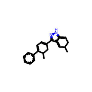 CC1C=c2c(C3=CC=C(c4ccccc4)C(C)C3)n[nH]c2=CC1